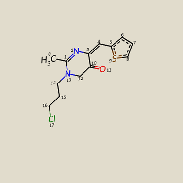 CC1=N/C(=C/c2cccs2)C(=O)CN1CCCCl